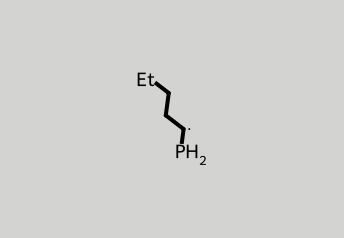 CCCC[CH]P